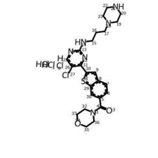 Cl.Cl.Cl.O=C(c1ccc2cc(-c3nc(NCCCN4CCNCC4)ncc3Cl)sc2c1)N1CCOCC1